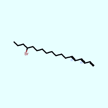 C=C/C=C/C=C/CCCCCCCCC(Br)CCC